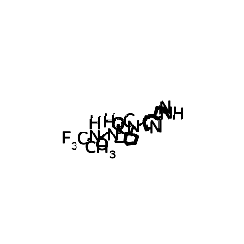 CC(NC(=O)CN1Cc2cccc(N(C)c3cnc4[nH]ncc4c3)c2C1=O)C(F)(F)F